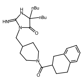 CCCCC1(CCCC)NC(=N)N(CC2CCN(C(=O)C3CCc4ccccc4C3)CC2)C1=O